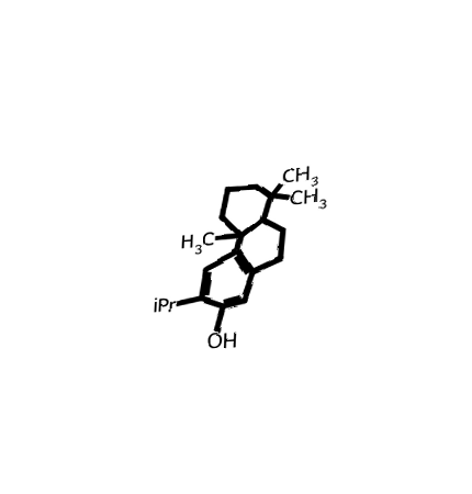 CC(C)c1cc2c(cc1O)CCC1C(C)(C)CCCC21C